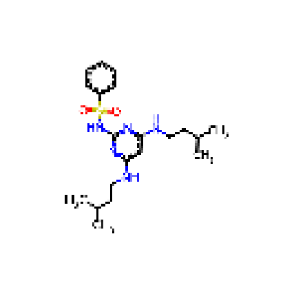 CC(C)CCNc1cc(NCCC(C)C)nc(NS(=O)(=O)c2ccccc2)n1